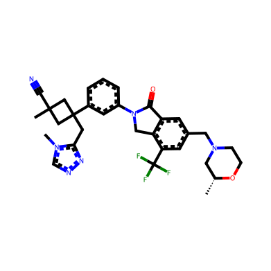 C[C@@H]1CN(Cc2cc3c(c(C(F)(F)F)c2)CN(c2cccc(C4(Cc5nncn5C)CC(C)(C#N)C4)c2)C3=O)CCO1